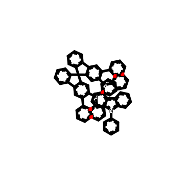 c1ccc(-c2cc3c(cc2N(c2ccccc2)c2ccccc2)C2(c4ccccc4-3)c3ccccc3-c3cc(-c4ccccc4)c(N(c4ccccc4)c4cccc5c4c4ccccc4n5-c4ccccc4)cc32)cc1